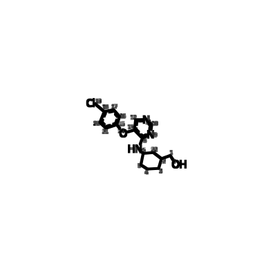 OCC1CCCC(Nc2ncncc2Oc2ccc(Cl)cc2)C1